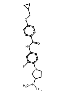 CN(C)C1CCN(c2ccc(NC(=O)c3ccc(OCC4CC4)cc3)cc2F)C1